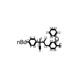 C#CC(C)(c1ccc(CCCC)cc1)C(C)Cc1ccc(F)c(Oc2ccccc2)c1